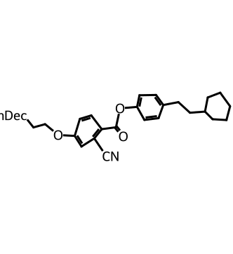 CCCCCCCCCCCCOc1ccc(C(=O)Oc2ccc(CCC3CC[CH]CC3)cc2)c(C#N)c1